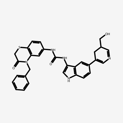 O=C(Nc1ccc2c(c1)N(Cc1ccccc1)C(=O)CS2)Nc1c[nH]c2ccc(C3=CN=CC(CO)C3)cc12